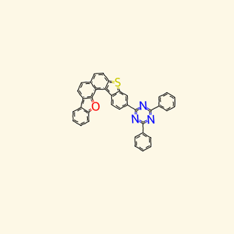 c1ccc(-c2nc(-c3ccccc3)nc(-c3ccc4c(c3)sc3ccc5ccc6c7ccccc7oc6c5c34)n2)cc1